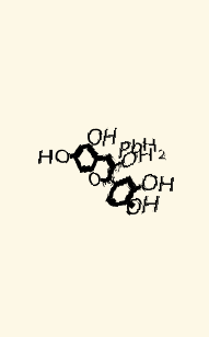 Oc1cc(O)c2c(c1)O[C@H](c1ccc(O)c(O)c1)[C@H](O)C2.[PbH2]